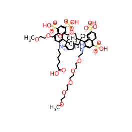 COCCOCCOCCOCCOCCNc1cc(S(=O)(=O)O)c2ccc(S(=O)(=O)O)cc2c1C(C)(C/C=C/C=C1/N(CCCCCC(=O)O)c2ccc3c(S(=O)(=O)O)cc(S(=O)(=O)O)cc3c2C1(C)C)CCOCCOCCOCCOC